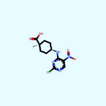 C[C@]1(C(=O)O)CC[C@@H](Nc2nc(Cl)ncc2[N+](=O)[O-])CC1